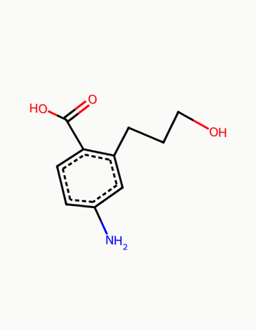 Nc1ccc(C(=O)O)c(CCCO)c1